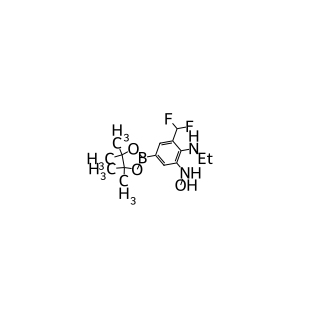 CCNc1c(NO)cc(B2OC(C)(C)C(C)(C)O2)cc1C(F)F